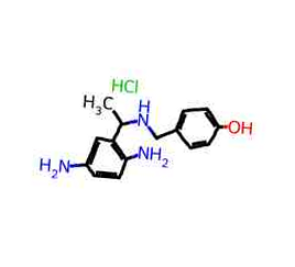 CC(NCc1ccc(O)cc1)c1cc(N)ccc1N.Cl